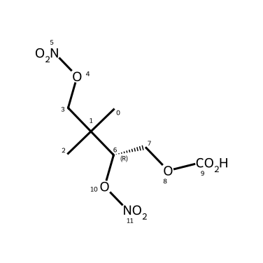 CC(C)(CO[N+](=O)[O-])[C@H](COC(=O)O)O[N+](=O)[O-]